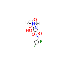 C[C@H]1COC[C@H]2Cn3cc(C(=O)NCc4ccc(F)cc4F)c(=O)c(O)c3C(=O)N21